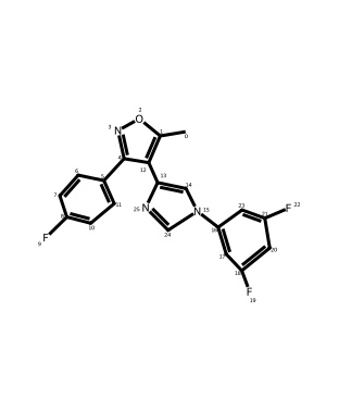 Cc1onc(-c2ccc(F)cc2)c1-c1cn(-c2cc(F)cc(F)c2)cn1